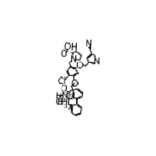 CCNC(=O)C1(COc2cc(OCc3cncc(C#N)c3)c(CN3CCC[C@H]3C(=O)O)cc2Cl)C=CC=C(c2ccccc2)C1(C)C